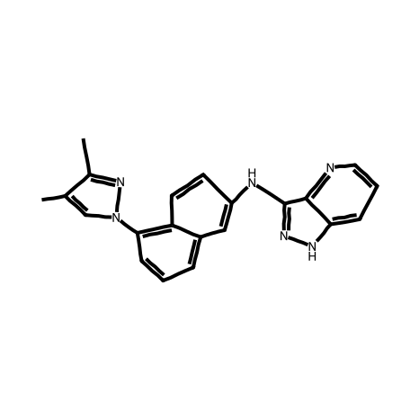 Cc1cn(-c2cccc3cc(Nc4n[nH]c5cccnc45)ccc23)nc1C